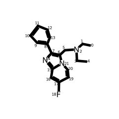 CCN(CC)Cc1c(-c2ccccc2)nc2cc(F)ccn12